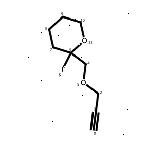 C#CCOCC1(I)CCCCO1